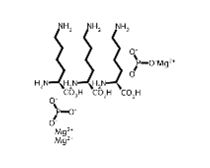 NCCCC[C@H](N)C(=O)O.NCCCC[C@H](N)C(=O)O.NCCCC[C@H](N)C(=O)O.[Mg+2].[Mg+2].[Mg+2].[O-]P([O-])[O-].[O-]P([O-])[O-]